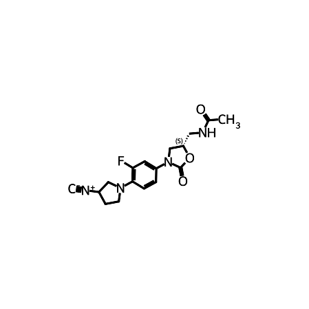 [C-]#[N+]C1CCN(c2ccc(N3C[C@H](CNC(C)=O)OC3=O)cc2F)C1